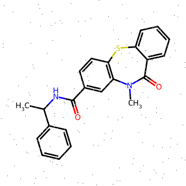 CC(NC(=O)c1ccc2c(c1)N(C)C(=O)c1ccccc1S2)c1ccccc1